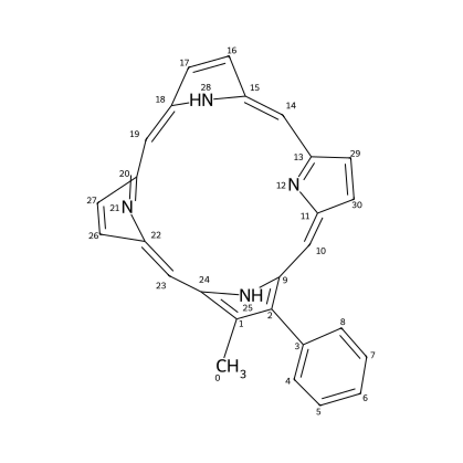 Cc1c(-c2ccccc2)c2cc3nc(cc4ccc(cc5nc(cc1[nH]2)C=C5)[nH]4)C=C3